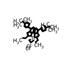 CCCC1=Cc2c(-c3ccc(C(C)(C)C)cc3)cccc2[CH]1[Ti+2]1([CH]2C(CCC)=Cc3c(-c4ccc(C(C)(C)C)cc4)cccc32)[CH2]C[CH2]1.[Cl-].[Cl-]